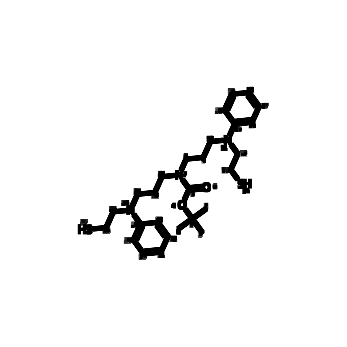 CC(C)(C)OC(=O)N(CCCN(CCS)c1ccccc1)CCCN(CCS)c1ccccc1